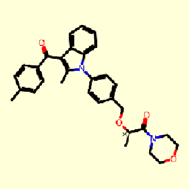 Cc1ccc(C(=O)c2c(C)n(-c3ccc(CO[C@H](C)C(=O)N4CCOCC4)cc3)c3ccccc23)cc1